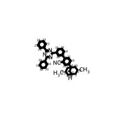 C[C@@H]1C[C@@H]2C[C@H](C)CC(c3ccc(-c4cccc(-c5nc(-c6ccccc6)nc(-c6ccccc6)n5)c4)c(C#N)c3)(C1)C2